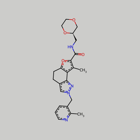 Cc1ncccc1Cn1cc2c(n1)-c1c(oc(C(=O)NC[C@@H]3COCCO3)c1C)CC2